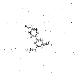 NCc1cc(-c2cnc(C(F)(F)F)nc2)nc(C(F)(F)F)c1